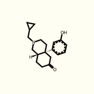 O=C1CC[C@@H]2CN(CC3CC3)CC[C@@]2(c2cccc(O)c2)C1